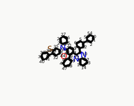 c1ccc(-c2cccc(-c3nc4ccccc4nc3-c3ccc(N(c4ccccc4)c4ccc5c(c4)sc4ccccc45)c4oc5ccccc5c34)c2)cc1